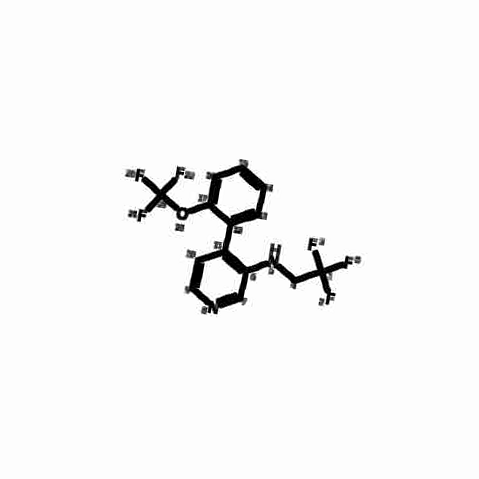 FC(F)(F)CNc1cnccc1-c1ccccc1OC(F)(F)F